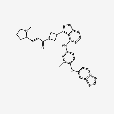 Cc1cc(Nc2ncnn3ccc(C4CN(C(=O)/C=C/C5CCCN5C)C4)c23)ccc1Oc1ccn2ncnc2c1